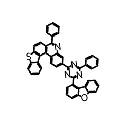 c1ccc(-c2nc(-c3ccc4c(c3)nc(-c3ccccc3)c3ccc5sc6ccccc6c5c34)nc(-c3cccc4oc5ccccc5c34)n2)cc1